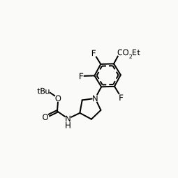 CCOC(=O)c1cc(F)c(N2CCC(NC(=O)OC(C)(C)C)C2)c(F)c1F